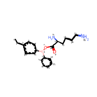 CCc1ccc(B(OC(=O)C(N)CCCCN)c2ccccc2)cc1